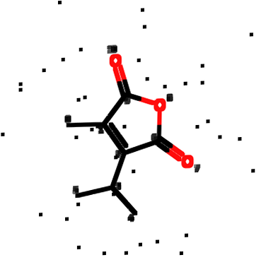 CC1=C(C(C)C)C(=O)OC1=O